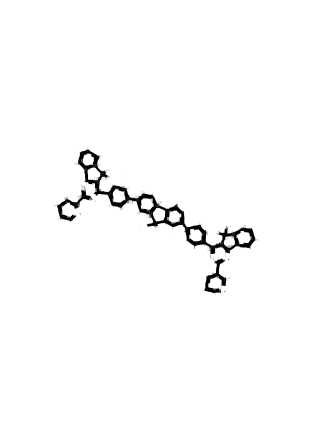 CC1(C)c2cc(-c3ccc(-c4nc(-c5cccnc5)nc5c4C(C)(C)c4ccccc4-5)cc3)ccc2-c2ccc(-c3ccc(-c4nc(-c5ccccn5)nc5c4C(C)(C)c4ccccc4-5)cc3)cc21